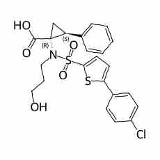 O=C(O)[C@@]1(N(CCCO)S(=O)(=O)c2ccc(-c3ccc(Cl)cc3)s2)C[C@H]1c1ccccc1